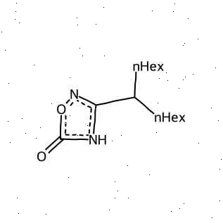 CCCCCCC(CCCCCC)c1noc(=O)[nH]1